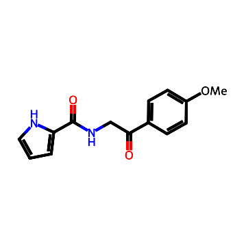 COc1ccc(C(=O)CNC(=O)c2ccc[nH]2)cc1